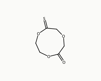 O=C1COCC(=S)OCCO1